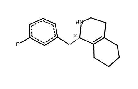 Fc1cccc(C[C@@H]2NCCC3=C2CCCC3)c1